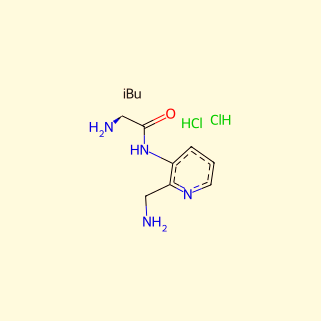 CC[C@H](C)[C@H](N)C(=O)Nc1cccnc1CN.Cl.Cl